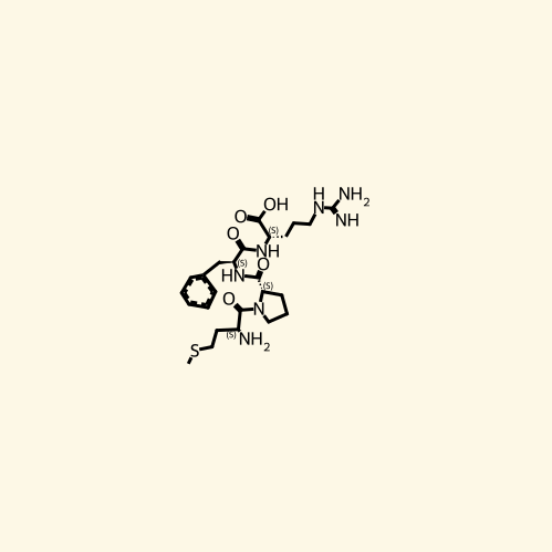 CSCC[C@H](N)C(=O)N1CCC[C@H]1C(=O)N[C@@H](Cc1ccccc1)C(=O)N[C@@H](CCCNC(=N)N)C(=O)O